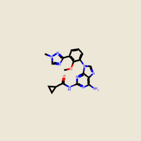 COc1c(-c2ncn(C)n2)cccc1-n1cnc2c(N)nc(NC(=O)C3CC3)nc21